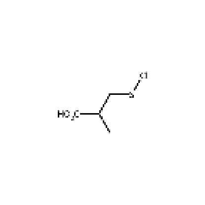 CC(CSCl)C(=O)O